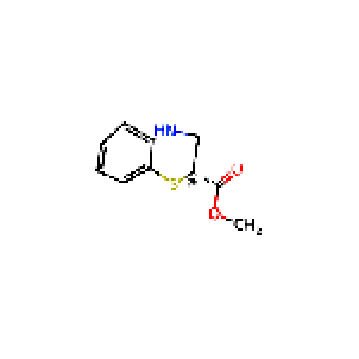 COC(=O)[C@H]1CNc2ccccc2S1